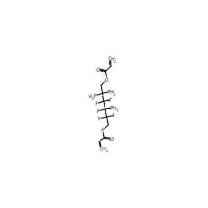 C=CC(=O)OCC(F)(F)C(F)(P)C(F)(F)C(P)(P)COC(=O)C=C